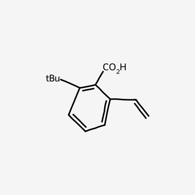 C=Cc1cccc(C(C)(C)C)c1C(=O)O